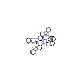 c1ccc(-n2c3ccccc3c3cccc(-c4nc(-c5ccc6c(oc7ccccc76)c5-n5c6ccccc6c6cc7ccccc7cc65)nc(-c5cccc6ccccc56)n4)c32)cc1